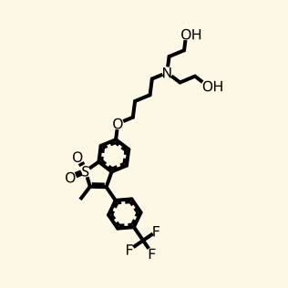 CC1=C(c2ccc(C(F)(F)F)cc2)c2ccc(OCCCCN(CCO)CCO)cc2S1(=O)=O